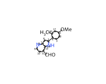 COc1ccc(-c2cc3nccc(C=O)c3[nH]2)c(C)c1